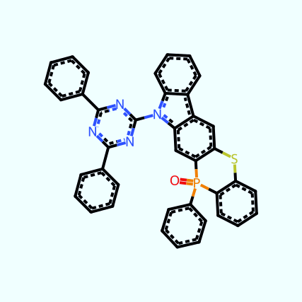 O=P1(c2ccccc2)c2ccccc2Sc2cc3c4ccccc4n(-c4nc(-c5ccccc5)nc(-c5ccccc5)n4)c3cc21